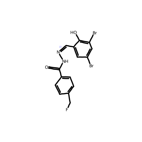 O=C(N/N=C\c1cc(Br)cc(Br)c1O)c1ccc(CF)cc1